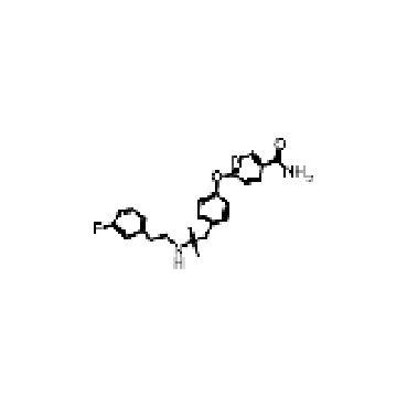 CC(C)(Cc1ccc(Oc2ccc(C(N)=O)cn2)cc1)NCCc1cccc(F)c1